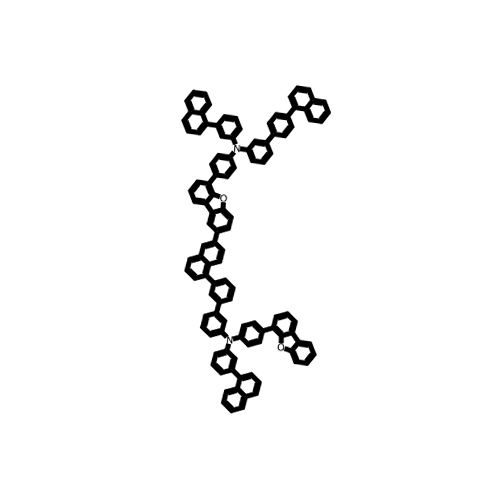 c1cc(-c2cccc(N(c3ccc(-c4cccc5c4oc4ccccc45)cc3)c3cccc(-c4cccc5ccccc45)c3)c2)cc(-c2cccc3cc(-c4ccc5oc6c(-c7ccc(N(c8cccc(-c9ccc(-c%10cccc%11ccccc%10%11)cc9)c8)c8cccc(-c9cccc%10ccccc9%10)c8)cc7)cccc6c5c4)ccc23)c1